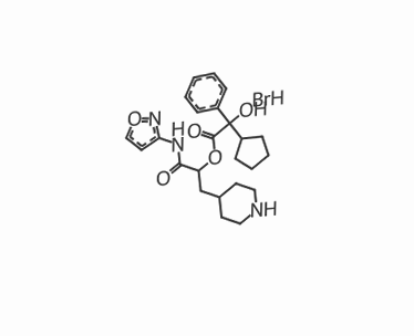 Br.O=C(Nc1ccon1)C(CC1CCNCC1)OC(=O)C(O)(c1ccccc1)C1CCCC1